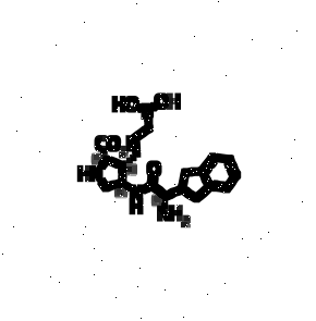 N[C@H](C(=O)N[C@H]1CN[C@H](C(=O)O)[C@@H]1CCCB(O)O)C1Cc2ccccc2C1